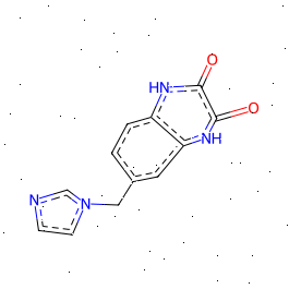 O=c1[nH]c2ccc(Cn3ccnc3)cc2[nH]c1=O